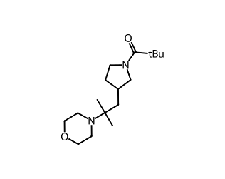 CC(C)(C)C(=O)N1CCC(CC(C)(C)N2CCOCC2)C1